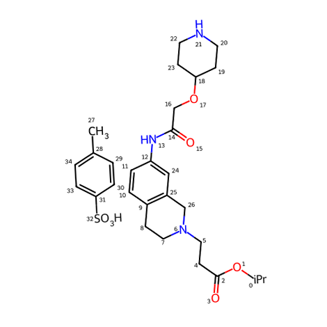 CC(C)OC(=O)CCN1CCc2ccc(NC(=O)COC3CCNCC3)cc2C1.Cc1ccc(S(=O)(=O)O)cc1